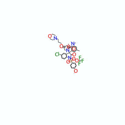 COc1ccc(S(=O)(=O)N2C(=O)C(c3cc(C)ccc3OC)(N3C[C@H](OCCCN4CCOCC4)C[C@H]3C(=O)N(C)C)c3cc(Cl)ccc32)c(OC(F)(F)F)c1